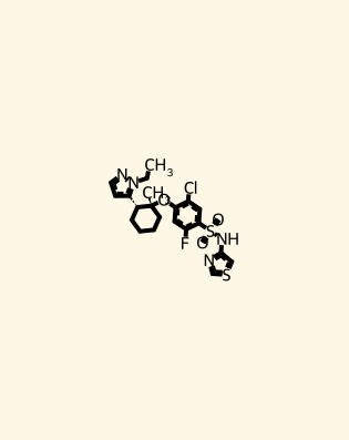 CCn1nccc1[C@H]1CCCC[C@]1(C)Oc1cc(F)c(S(=O)(=O)Nc2cscn2)cc1Cl